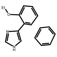 CCOc1ccccc1-c1c[nH]cn1.c1ccccc1